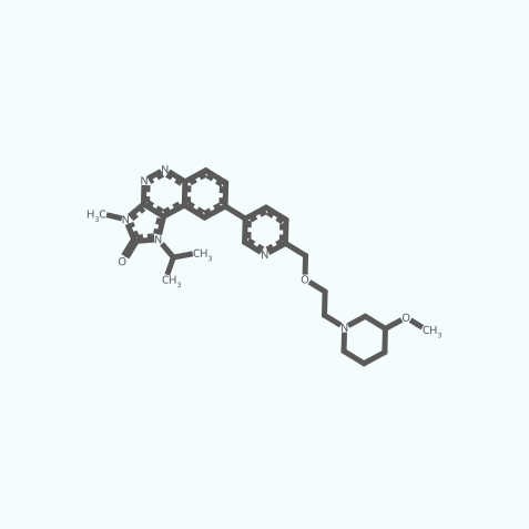 COC1CCCN(CCOCc2ccc(-c3ccc4nnc5c(c4c3)n(C(C)C)c(=O)n5C)cn2)C1